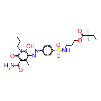 CCCn1c(O)c(N=Nc2ccc(S(=O)(=O)NCCCOC(=O)C(C)(C)CC)cc2)c(C)c(C(N)=O)c1=O